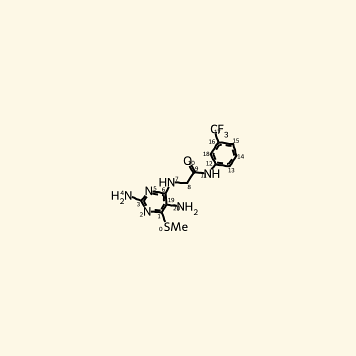 CSc1nc(N)nc(NCC(=O)Nc2cccc(C(F)(F)F)c2)c1N